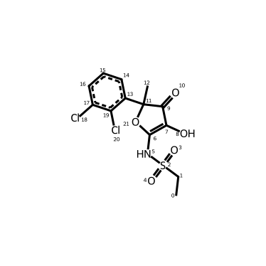 CCS(=O)(=O)NC1=C(O)C(=O)C(C)(c2cccc(Cl)c2Cl)O1